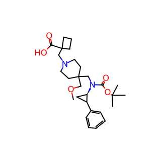 COCC1(CN(C(=O)OC(C)(C)C)[C@@H]2CC2c2ccccc2)CCN(CC2(C(=O)O)CCC2)CC1